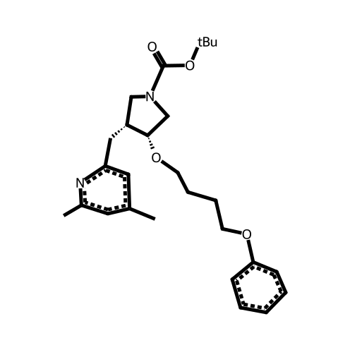 Cc1cc(C)nc(C[C@@H]2CN(C(=O)OC(C)(C)C)C[C@@H]2OCCCCOc2ccccc2)c1